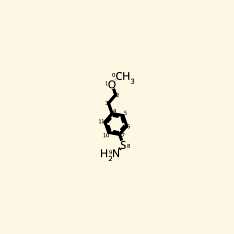 COCCc1ccc(SN)cc1